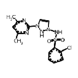 Cc1cc(C)nc(N2C=CN(NS(=O)(=O)c3ccccc3Cl)N2)n1